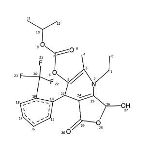 CCN1C(C)=C(OC(=O)OC(C)C)C(c2ccccc2C(F)(F)F)C2=C1C(O)OC2=O